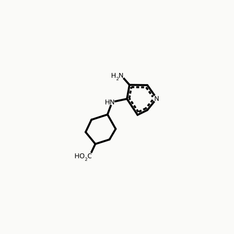 Nc1cnccc1NC1CCC(C(=O)O)CC1